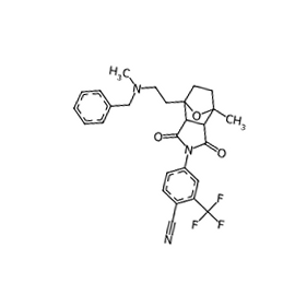 CN(CCC12CCC(C)(O1)C1C(=O)N(c3ccc(C#N)c(C(F)(F)F)c3)C(=O)C12)Cc1ccccc1